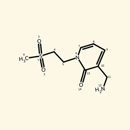 CS(=O)(=O)CCn1cccc(CN)c1=O